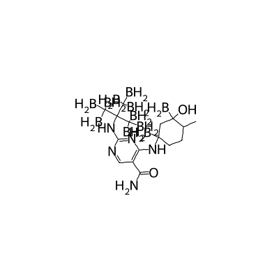 BC1(Nc2nc(NC(C(B)(B)B)(C(B)(B)B)C(B)(B)B)ncc2C(N)=O)CCC(C)C(B)(O)C1